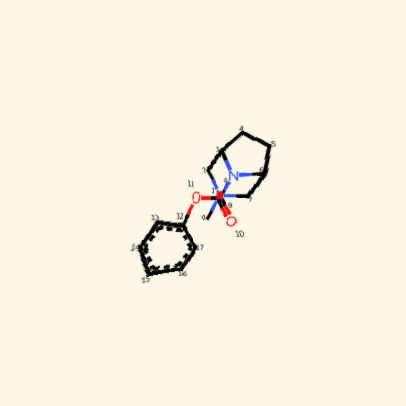 CN1CC2CCC(C1)N2C(=O)Oc1ccccc1